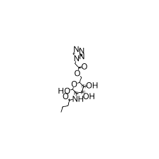 CCCC(=O)N[C@H]1C(O)OC(COC(=O)Cn2cnnn2)[C@@H](O)[C@@H]1O